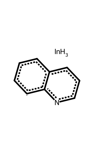 [InH3].[c]1cccc2cccnc12